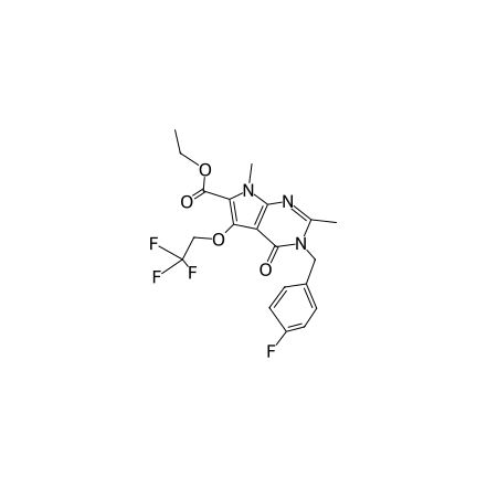 CCOC(=O)c1c(OCC(F)(F)F)c2c(=O)n(Cc3ccc(F)cc3)c(C)nc2n1C